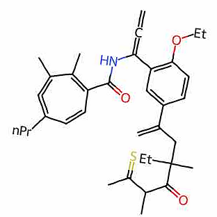 C=C=C(NC(=O)C1=C(C)C(C)=C=C(CCC)C=C1)c1cc(C(=C)CC(C)(CC)C(=O)C(C)C(C)=S)ccc1OCC